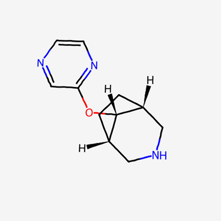 c1cnc(O[C@@H]2[C@@H]3CC[C@H]2CNC3)cn1